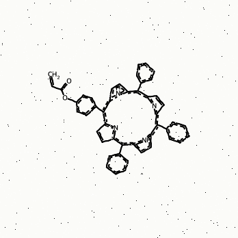 C=CC(=O)Oc1ccc(-c2c3nc(c(-c4ccccc4)c4ccc([nH]4)c(-c4ccccc4)c4nc(c(-c5ccccc5)c5ccc2[nH]5)C=C4)C=C3)cc1